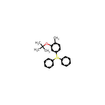 Cc1ccc([S+](c2ccccc2)c2ccccc2)cc1OC(C)(C)C